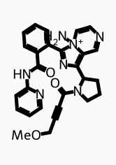 COCC#CC(=O)N1CCCC1C1=C2C=NC=C[N+]2(N)C(c2ccccc2C(=O)Nc2ccccn2)=N1